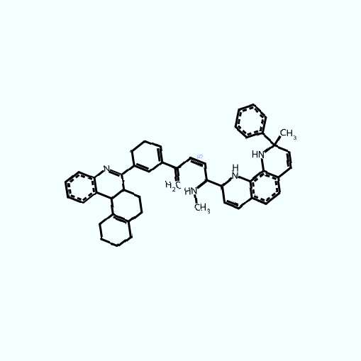 C=C(/C=C\C(NC)C1C=Cc2ccc3c(c2N1)NC(C)(c1ccccc1)C=C3)C1=CCCC(C2=Nc3ccccc3C3C4=C(CCCC4)CCC23)=C1